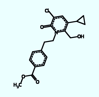 COC(=O)c1ccc(CCn2c(CO)c(C3CC3)cc(Cl)c2=O)cc1